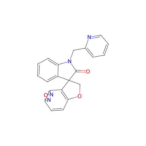 O=C1N(Cc2ccccn2)c2ccccc2C12COc1ccc3nonc3c12